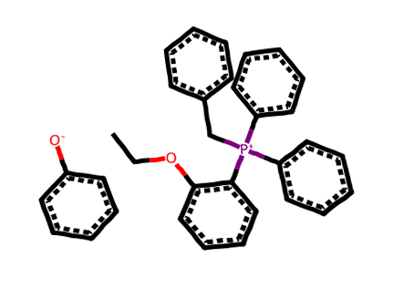 CCOc1ccccc1[P+](Cc1ccccc1)(c1ccccc1)c1ccccc1.[O-]c1ccccc1